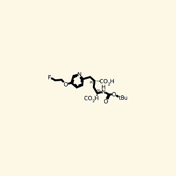 CC(C)(C)OC(=O)N[C@@H](C[C@H](Cc1ccc(OCCF)cn1)C(=O)O)C(=O)O